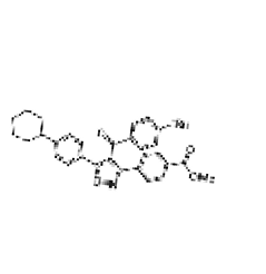 COC(=O)c1ccc(-c2noc(-c3ccc(C4CCCCC4)cc3)c2C(=O)c2ccc(C(C)(C)C)cc2)cc1